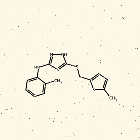 Cc1ccc(CSc2nc(Nc3ccccc3C)n[nH]2)s1